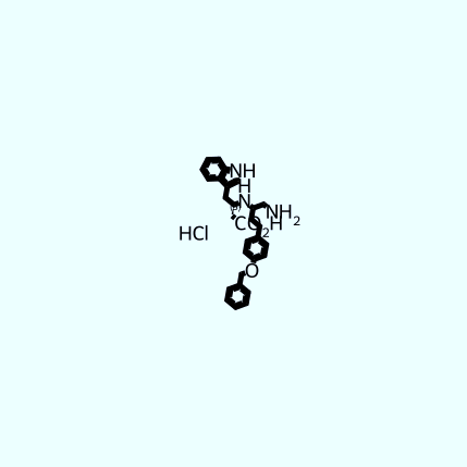 Cl.NCC(CCc1ccc(OCc2ccccc2)cc1)N[C@H](CC(=O)O)Cc1c[nH]c2ccccc12